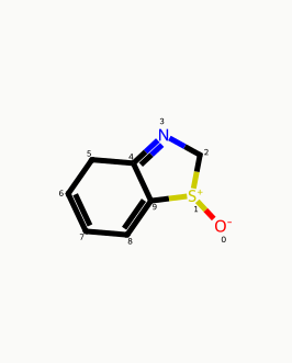 [O-][S+]1CN=C2CC=CC=C21